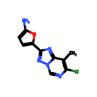 Cc1c(Cl)ncn2nc(-c3ccc(N)o3)nc12